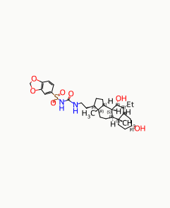 CC[C@H]1[C@@H](O)[C@@H]2[C@H](CC[C@]3(C)[C@@H](CCNC(=O)NS(=O)(=O)c4ccc5c(c4)OCO5)CC[C@@H]23)[C@@]2(C)CC[C@@H](O)C[C@@H]12